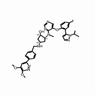 COc1cc(-c2ccc(CN[C@H]3C[C@@H](O)[C@@H](N(C)c4ncncc4Oc4ccc(F)cc4-c4ccnn4C(C)C)C3)cc2)nnc1OC